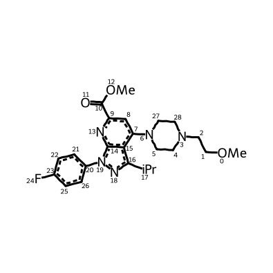 COCCN1CCN(c2cc(C(=O)OC)nc3c2c(C(C)C)nn3-c2ccc(F)cc2)CC1